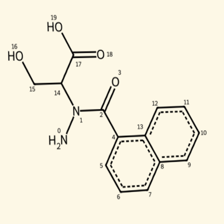 NN(C(=O)c1cccc2ccccc12)C(CO)C(=O)O